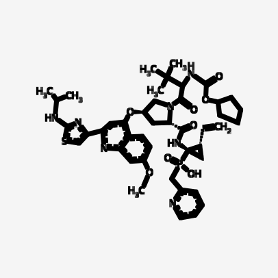 C=C[C@@H]1C[C@]1(NC(=O)[C@@H]1C[C@@H](Oc2cc(-c3csc(NC(C)C)n3)nc3cc(OC)ccc23)CN1C(=O)C(NC(=O)OC1CCCC1)C(C)(C)C)P(=O)(O)Cc1ccccn1